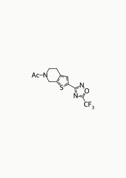 CC(=O)N1CCc2cc(-c3noc(C(F)(F)F)n3)sc2C1